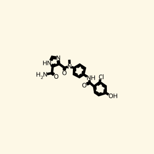 CN(C(=O)c1nc[nH]c1C(N)=O)c1ccc(NC(=O)c2ccc(O)cc2Cl)cc1